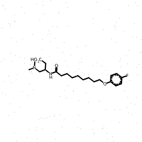 CN(C)CC(CC(=O)O)NC(=O)CCCCCCCCOc1ccc(F)cc1